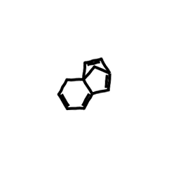 C1=CCC23C=CC(=CC2=C1)C3